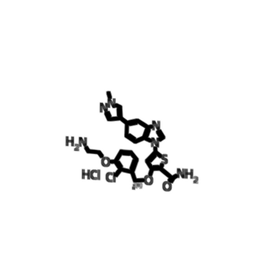 C[C@@H](Oc1cc(-n2cnc3cc(-c4cnn(C)c4)ccc32)sc1C(N)=O)c1cccc(OCCN)c1Cl.Cl